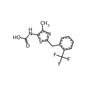 Cc1nc(Cc2ccccc2C(F)(F)F)sc1NC(=O)O